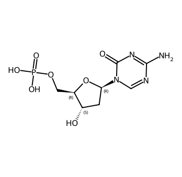 Nc1ncn([C@H]2C[C@H](O)[C@@H](COP(=O)(O)O)O2)c(=O)n1